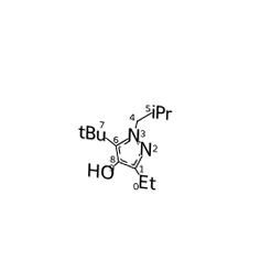 CCc1nn(CC(C)C)c(C(C)(C)C)c1O